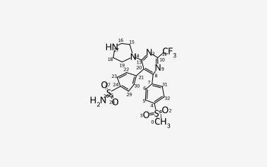 CS(=O)(=O)c1ccc(-c2nc(C(F)(F)F)nc(N3CCNCC3)c2-c2ccc(S(N)(=O)=O)cc2)cc1